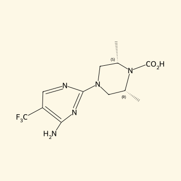 C[C@@H]1CN(c2ncc(C(F)(F)F)c(N)n2)C[C@H](C)N1C(=O)O